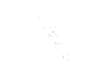 O=C(N[C@H](c1nc2c(F)c([C@H](CC(F)F)C(=O)O)ccc2[nH]1)C1CCC(F)(F)CC1)OCc1ccccc1